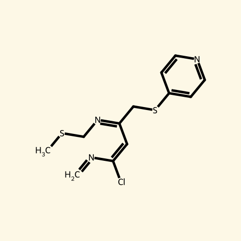 C=N/C(Cl)=C\C(CSc1ccncc1)=N/CSC